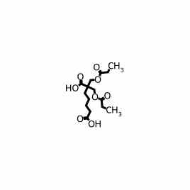 CCC(=O)OCC(CCCCC(=O)O)(COC(=O)CC)C(=O)O